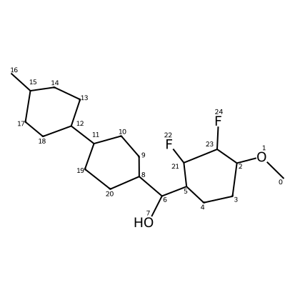 COC1CCC(C(O)C2CCC(C3CCC(C)CC3)CC2)C(F)C1F